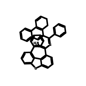 N/N=C(\N=C(\c1ccccc1)c1cc2ccccc2c2c1CCC=C2)c1cccc2oc3cccc(-c4ccccc4)c3c12